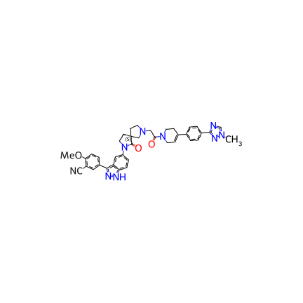 COc1ccc(-c2n[nH]c3ccc(N4CC[C@]5(CCN(CC(=O)N6CC=C(c7ccc(-c8ncn(C)n8)cc7)CC6)C5)C4=O)cc23)cc1C#N